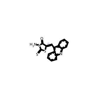 NN1C(=O)/C(=C/c2c3ccccc3nc3ccccc23)SC1=S